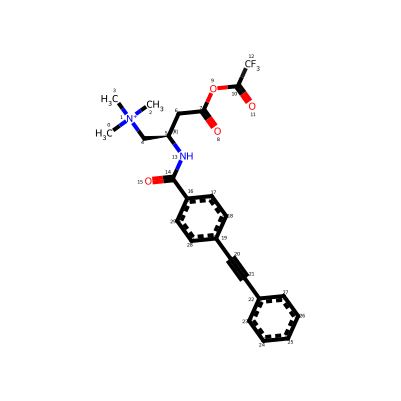 C[N+](C)(C)C[C@@H](CC(=O)OC(=O)C(F)(F)F)NC(=O)c1ccc(C#Cc2ccccc2)cc1